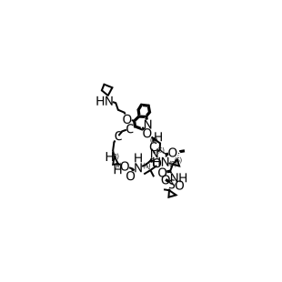 C=C[C@@H]1C[C@]1(NC(=O)[C@@H]1C[C@@H]2CN1C(=O)[C@H](C(C)(C)C)NC(=O)O[C@@H]1C[C@H]1CCCCCc1c(nc3ccccc3c1OCCCNC1CCC1)O2)C(=O)NS(=O)(=O)C1(C)CC1